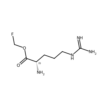 N=C(N)NCCC[C@H](N)C(=O)OCF